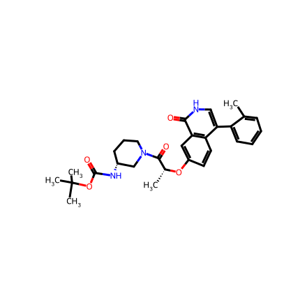 Cc1ccccc1-c1c[nH]c(=O)c2cc(O[C@H](C)C(=O)N3CCC[C@@H](NC(=O)OC(C)(C)C)C3)ccc12